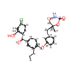 CCCc1cc(C(=O)c2ccc(Cl)cc2O)ccc1Oc1cccc(C[C@]2(C)CONC(=O)O2)c1